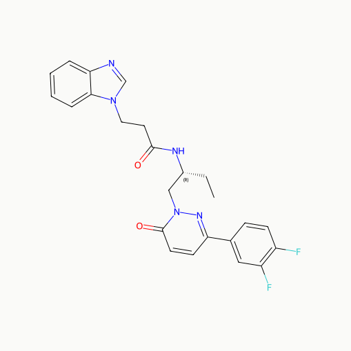 CC[C@H](Cn1nc(-c2ccc(F)c(F)c2)ccc1=O)NC(=O)CCn1cnc2ccccc21